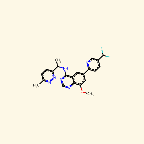 COc1cc(-c2ccc(C(F)F)cn2)cc2c(N[C@H](C)c3ccc(C)nn3)ncnc12